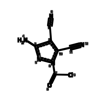 N#Cc1c(N)nn(C(=O)Cl)c1C#N